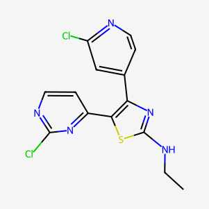 CCNc1nc(-c2ccnc(Cl)c2)c(-c2ccnc(Cl)n2)s1